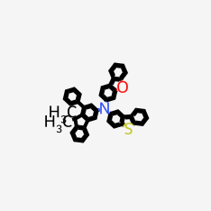 CC1(C)c2ccccc2-c2cc(N(c3ccc4c(c3)oc3ccccc34)c3ccc4sc5ccccc5c4c3)cc(-c3ccccc3)c21